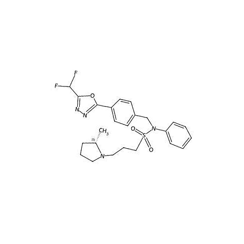 C[C@H]1CCCN1CCCS(=O)(=O)N(Cc1ccc(-c2nnc(C(F)F)o2)cc1)c1ccccc1